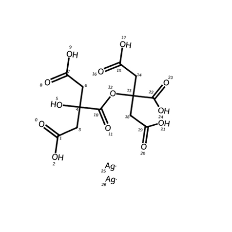 O=C(O)CC(O)(CC(=O)O)C(=O)OC(CC(=O)O)(CC(=O)O)C(=O)O.[Ag].[Ag]